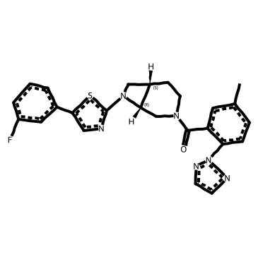 Cc1ccc(-n2nccn2)c(C(=O)N2CC[C@H]3CN(c4ncc(-c5cccc(F)c5)s4)[C@H]3C2)c1